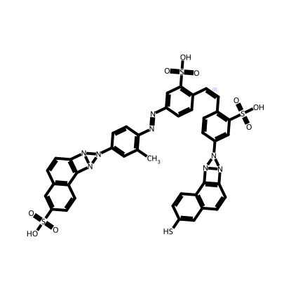 Cc1cc(-n2n3c4ccc5cc(S(=O)(=O)O)ccc5c4n23)ccc1N=Nc1ccc(/C=C\c2ccc(-n3n4c5ccc6cc(S)ccc6c5n34)cc2S(=O)(=O)O)c(S(=O)(=O)O)c1